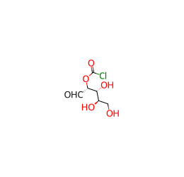 O=C[C@H](OC(=O)Cl)[C@H](O)[C@H](O)CO